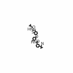 Cc1ccc(Oc2ccc3nc(NC(=O)C4CC4)sc3c2)cc1NC(=O)c1cccc(C2(C#N)CC2)c1